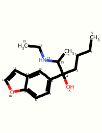 CCCCC(O)(c1ccc2occc2c1)C(C)NCC